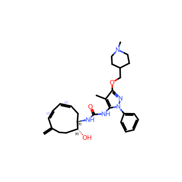 C=C1/C=C\C=C/C[C@@H](NC(=O)Nc2c(C)c(OCC3CCN(C)CC3)nn2-c2ccccc2)[C@H](O)CC1